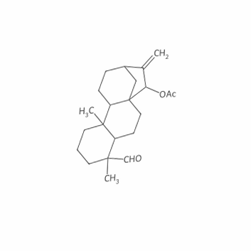 C=C1C2CCC3C4(C)CCCC(C)(C=O)C4CCC3(C2)C1OC(C)=O